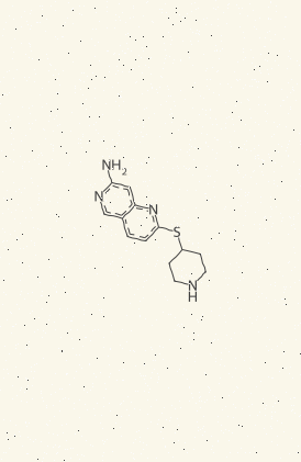 Nc1cc2nc(SC3CCNCC3)ccc2cn1